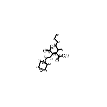 CCCCC(C)/C(C(=O)O)=C(/CCN1CCOCC1)C(=O)O